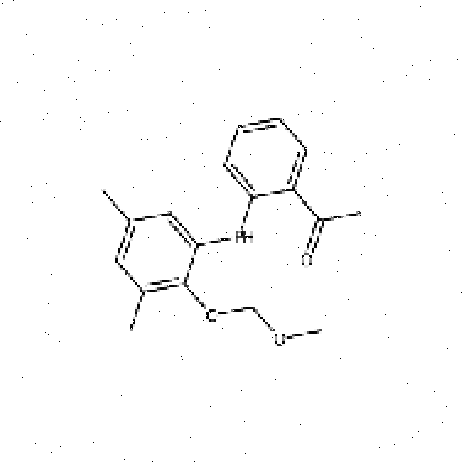 COCOc1c(C)cc(C)cc1Pc1ccccc1C(C)=O